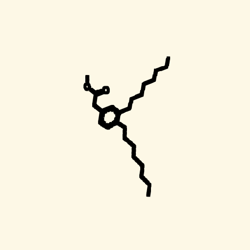 CCCCCCCCc1ccc(CC(=O)OC)cc1CCCCCCCC